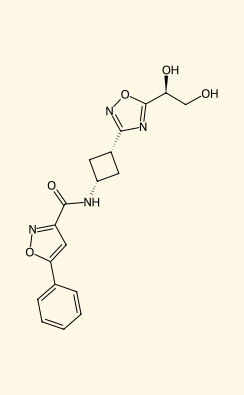 O=C(N[C@H]1C[C@@H](c2noc([C@@H](O)CO)n2)C1)c1cc(-c2ccccc2)on1